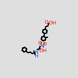 Cc1cc(S(=O)(=O)N(C)C[C@H](O)CNC(C)(C)CCCc2ccccc2)ccc1-c1ccc(CCC(=O)O)cc1